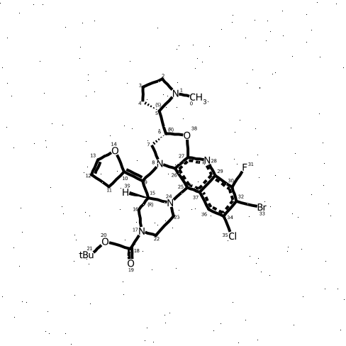 CN1CCC[C@H]1[C@H]1CN2C(=C3CC=CO3)[C@H]3CN(C(=O)OC(C)(C)C)CCN3c3c2c(nc2c(F)c(Br)c(Cl)cc32)O1